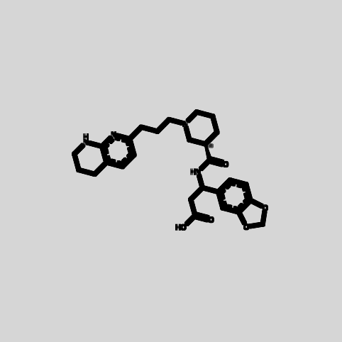 O=C(O)CC(NC(=O)[C@@H]1CCCN(CCCc2ccc3c(n2)NCCC3)C1)c1ccc2c(c1)OCO2